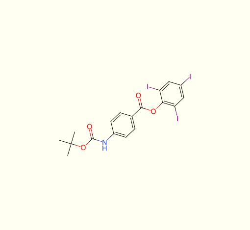 CC(C)(C)OC(=O)Nc1ccc(C(=O)Oc2c(I)cc(I)cc2I)cc1